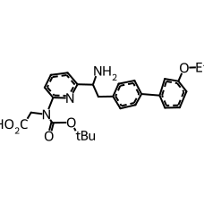 CCOc1cccc(-c2ccc(CC(N)c3cccc(N(CC(=O)O)C(=O)OC(C)(C)C)n3)cc2)c1